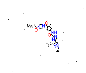 CNC(=O)N1CCN(C(=O)c2ccc(NC(=O)c3ncc(-c4cn(CC5CC5)nc4C(F)(F)F)n3C)cc2C)CC1